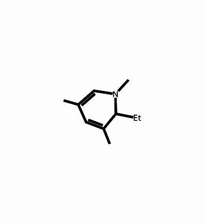 CCC1C(C)=CC(C)=CN1C